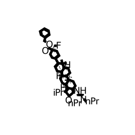 CCCN(CCC)CCN[C@@]12CC[C@]3(C)[C@H](CC[C@@H]4[C@@]5(C)CC=C(C6=CC[C@](CF)(C(=O)OCc7ccccc7)CC6)C(C)(C)[C@@H]5CC[C@]43C)C1=C(C(C)C)C(=O)C2